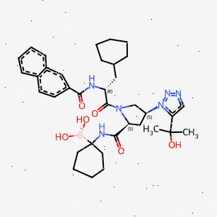 CC(C)(O)c1cnnn1[C@H]1C[C@@H](C(=O)NC2(B(O)O)CCCCC2)N(C(=O)[C@@H](CC2CCCCC2)NC(=O)c2ccc3ccccc3c2)C1